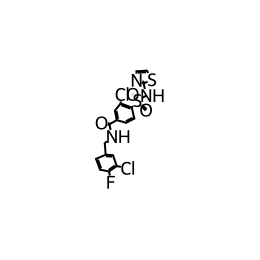 O=C(NCc1ccc(F)c(Cl)c1)c1ccc(S(=O)(=O)Nc2nccs2)c(Cl)c1